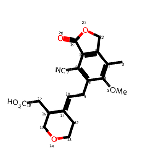 COc1c(C)c2c(c(C#N)c1C/C=C1\CCOCC1CC(=O)O)C(=O)OC2